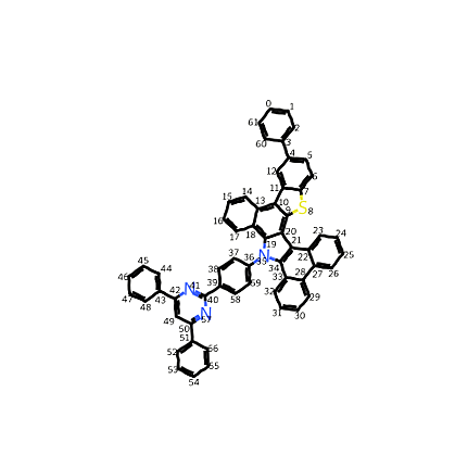 c1ccc(-c2ccc3sc4c(c3c2)c2ccccc2c2c4c3c4ccccc4c4ccccc4c3n2-c2ccc(-c3nc(-c4ccccc4)cc(-c4ccccc4)n3)cc2)cc1